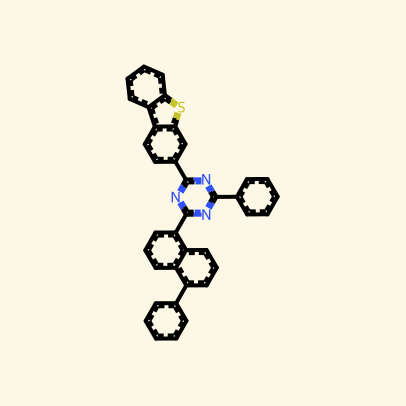 c1ccc(-c2nc(-c3ccc4c(c3)sc3ccccc34)nc(-c3cccc4c(-c5ccccc5)cccc34)n2)cc1